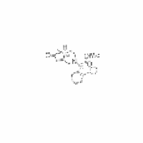 COC(=O)[C@H](c1ccccc1C1CCC1)N1CC[C@@H]2SC(=O)C=C2C1